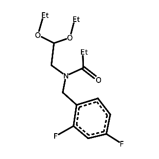 CCOC(CN(Cc1ccc(F)cc1F)C(=O)CC)OCC